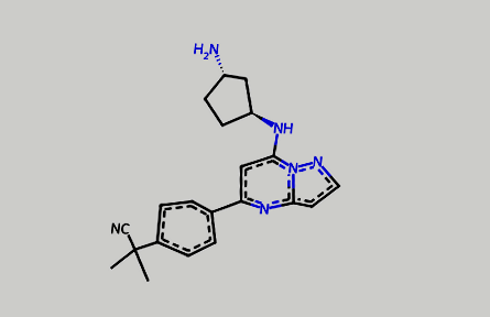 CC(C)(C#N)c1ccc(-c2cc(N[C@H]3CC[C@H](N)C3)n3nccc3n2)cc1